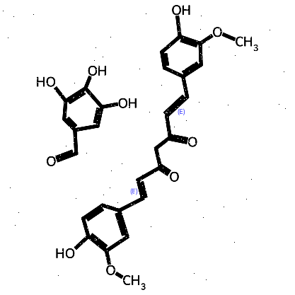 COc1cc(/C=C/C(=O)CC(=O)/C=C/c2ccc(O)c(OC)c2)ccc1O.O=Cc1cc(O)c(O)c(O)c1